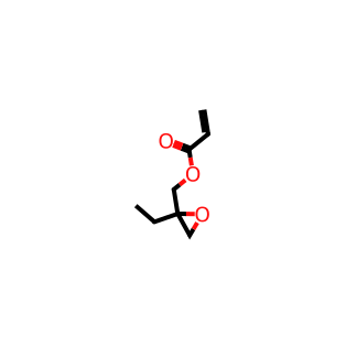 C=CC(=O)OCC1(CC)CO1